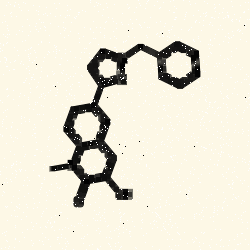 Cn1c(=O)c(O)cc2cc(-c3ccn(Cc4ccccc4)n3)ccc21